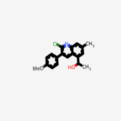 COc1ccc(-c2cc3c(C(C)O)cc(C)cc3nc2Cl)cc1